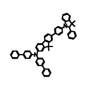 CC1(C)c2cc(-c3ccc(N4c5ccccc5C(C)(C)C4c4ccccc4)cc3)ccc2-c2ccc(N(c3ccc(-c4ccccc4)cc3)c3ccc(-c4ccccc4)cc3)cc21